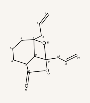 C=CCC12CCCC3C(=O)OC(CC=C)(O1)C32